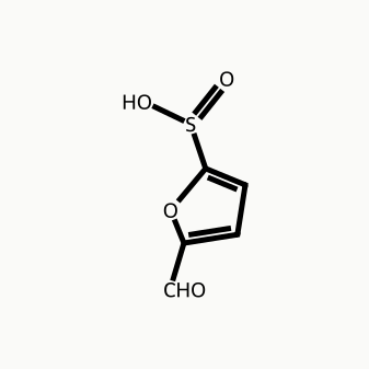 O=Cc1ccc(S(=O)O)o1